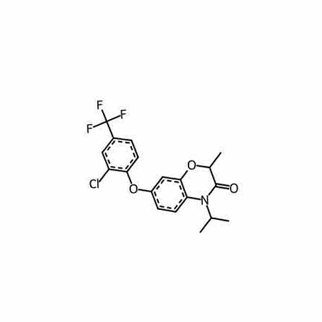 CC1Oc2cc(Oc3ccc(C(F)(F)F)cc3Cl)ccc2N(C(C)C)C1=O